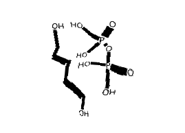 O=P(O)(O)OP(=O)(O)O.OC=CC=CO